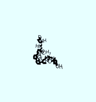 COc1nc(-c2cccc(-c3cccc(-c4ccn5c(=O)c(CN6CC7(CC(O)C7)C6)cnc5c4)c3Cl)c2Cl)ccc1CNC[C@@H]1CCC(=O)N1